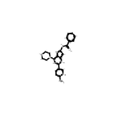 Nc1ccc(-c2nc(N3CCOCC3)c3sc(OC(=O)c4ccccc4)cc3n2)cn1